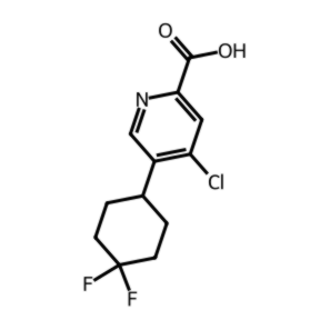 O=C(O)c1cc(Cl)c(C2CCC(F)(F)CC2)cn1